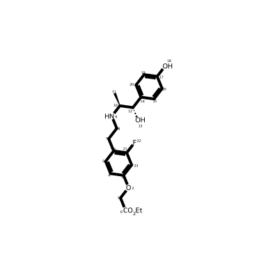 CCOC(=O)COc1ccc(CCN[C@@H](C)[C@@H](O)c2ccc(O)cc2)c(F)c1